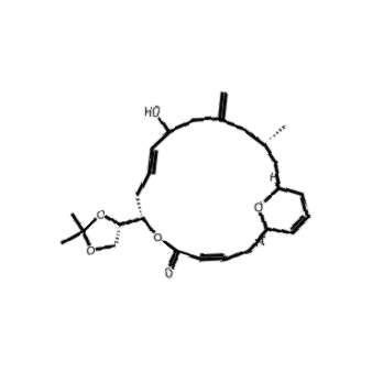 C=C1CC(O)/C=C/C[C@@H]([C@@H]2COC(C)(C)O2)OC(=O)/C=C\C[C@@H]2C=CC[C@@H](C[C@@H](C)C1)O2